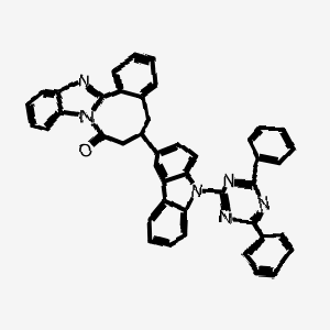 O=C1CC(c2ccc3c(c2)c2ccccc2n3-c2nc(-c3ccccc3)nc(-c3ccccc3)n2)Cc2ccccc2-c2nc3ccccc3n21